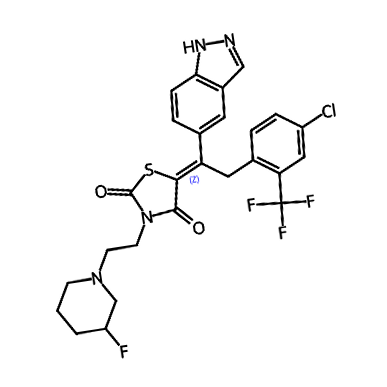 O=C1S/C(=C(/Cc2ccc(Cl)cc2C(F)(F)F)c2ccc3[nH]ncc3c2)C(=O)N1CCN1CCCC(F)C1